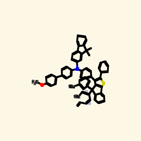 C=C/C=C\C(=C/C(C)(C)C)C1(c2cccc(C(C)(C)C)c2)c2ccccc2-c2sc(-c3ccccc3)c(-c3ccc(N(c4ccc(-c5ccc(OC(F)(F)F)cc5)cc4)c4ccc5c(c4)C(C)(C)c4ccccc4-5)cc3)c21